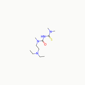 CCN(CC)CCN(C)C(=O)NC(=S)N(C)C